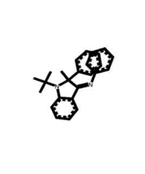 CC(C)(C)N1c2ccccc2/C(=N/c2ccccc2)C1(C)c1ccccc1